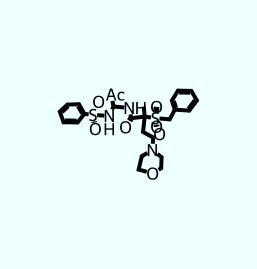 CC(=O)C(NC(=O)C(C)(CC(=O)N1CCOCC1)S(=O)(=O)Cc1ccccc1)NS(=O)(=O)c1ccccc1